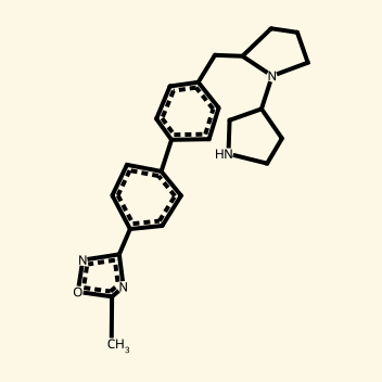 Cc1nc(-c2ccc(-c3ccc(CC4CCCN4C4CCNC4)cc3)cc2)no1